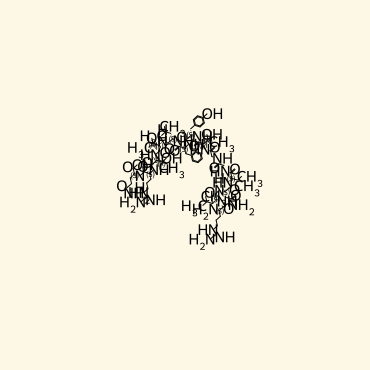 CC(C)C[C@H](NC(=O)[C@H](Cc1ccccc1)NC(=O)[C@H](Cc1ccc(O)cc1)NC(=O)[C@@H](NC(=O)CNC(=O)CNC(=O)[C@@H](NC(=O)[C@H](CC(N)=O)NC(=O)[C@H](CC(C)C)NC(=O)[C@@H](N)CCCNC(=N)N)C(C)C)[C@@H](C)O)C(=O)N[C@H](C(=O)N[C@H](C(=O)N[C@@H](CCCNC(=N)N)C(=O)N[C@@H](CCC(N)=O)C(=O)O)[C@@H](C)O)[C@@H](C)O